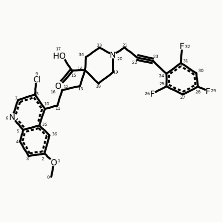 COc1ccc2ncc(Cl)c(CCCC3(C(=O)O)CCN(CC#Cc4c(F)cc(F)cc4F)CC3)c2c1